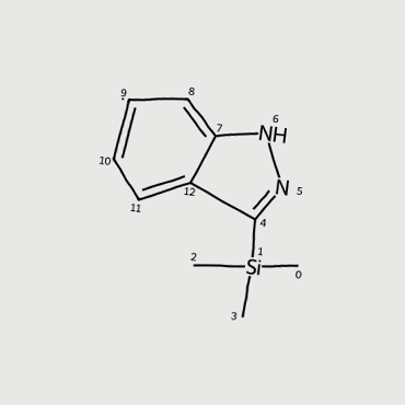 C[Si](C)(C)c1n[nH]c2c[c]ccc12